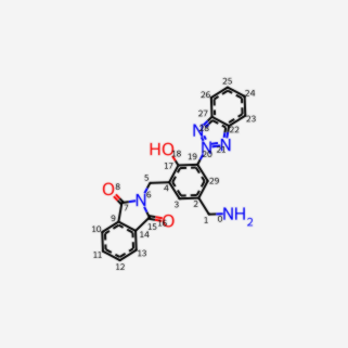 NCc1cc(CN2C(=O)c3ccccc3C2=O)c(O)c(-n2nc3ccccc3n2)c1